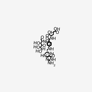 N[C@@H](C=O)[C@@H](O)[C@@H](O)[C@H](O)CO.Nc1nc2c(c(=O)[nH]1)N[C@H](CNc1ccc(C(=O)NC(CCC(=O)O)C(=O)O)cc1)CN2